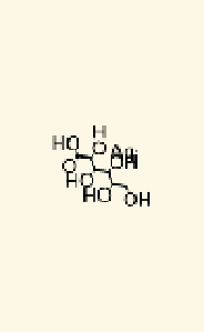 O=C(O)[C@H](O)[C@@H](O)[C@H](O)[C@H](O)CO.[Ag]